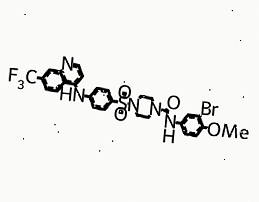 COc1ccc(NC(=O)N2CCN(S(=O)(=O)c3ccc(Nc4ccnc5cc(C(F)(F)F)ccc45)cc3)CC2)cc1Br